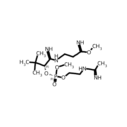 COC(=N)CCNC(=N)[C@H](O[P@](=O)(OC)OCCNC(C)=N)C(C)(C)C